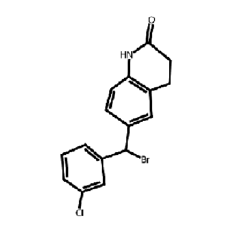 O=C1CCc2cc(C(Br)c3cccc(Cl)c3)ccc2N1